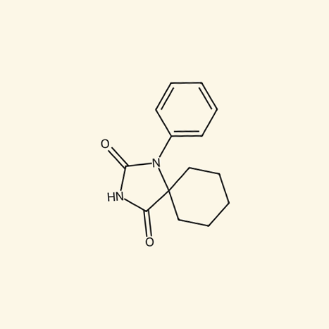 O=C1NC(=O)C2(CCCCC2)N1c1ccccc1